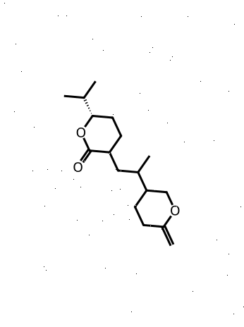 C=C1CCC(C(C)CC2CC[C@@H](C(C)C)OC2=O)CO1